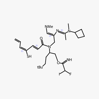 C=C/C=C(S)\C=C\C(=O)N(CC(=C/NC)/N=C(\C)N(C)C1CCC1)C(CCC(C)(C)C)COC(=N)C(F)I